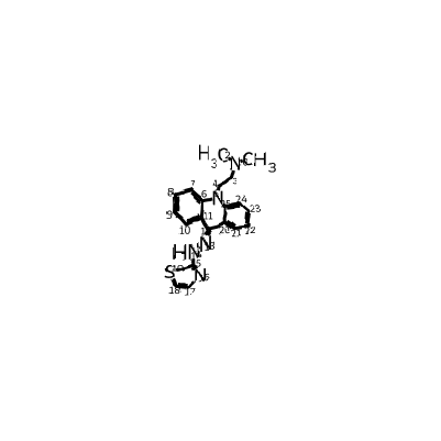 CN(C)CCn1c2ccccc2c(=NNc2nccs2)c2ccccc21